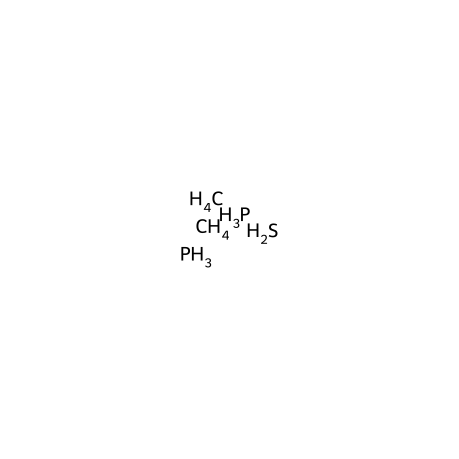 C.C.P.P.S